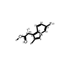 COC(=O)[C@H](C)c1c(C)cn2cc(F)ccc12